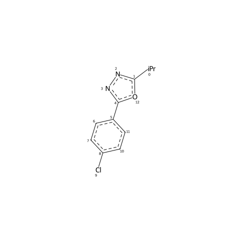 CC(C)c1nnc(-c2ccc(Cl)cc2)o1